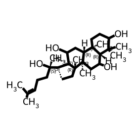 CC(C)=CCC[C@](C)(O)[C@H]1CC[C@]2(C)[C@@H]1C(O)C[C@@H]1[C@@]3(C)CCC(O)C(C)(C)[C@@H]3C(O)C[C@]12C